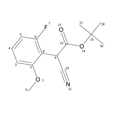 COc1cccc(F)c1C(C#N)C(=O)OC(C)(C)C